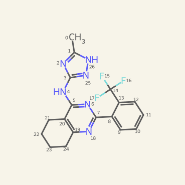 Cc1nc(Nc2nc(-c3ccccc3C(F)(F)F)nc3c2CCCC3)n[nH]1